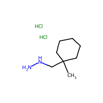 CC1(CNN)CCCCC1.Cl.Cl